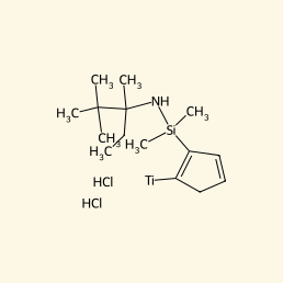 CCC(C)(N[Si](C)(C)C1=[C]([Ti])CC=C1)C(C)(C)C.Cl.Cl